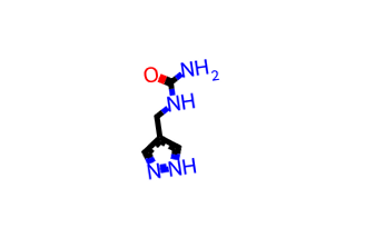 NC(=O)NCc1cn[nH]c1